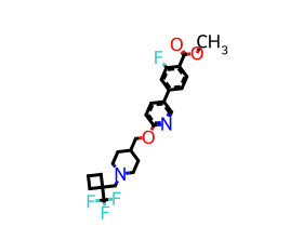 COC(=O)c1ccc(-c2ccc(OCC3CCN(CC4(C(F)(F)F)CCC4)CC3)nc2)cc1F